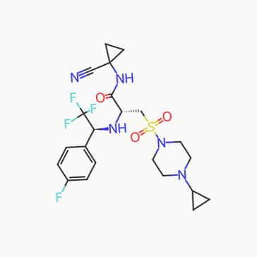 N#CC1(NC(=O)[C@H](CS(=O)(=O)N2CCN(C3CC3)CC2)N[C@@H](c2ccc(F)cc2)C(F)(F)F)CC1